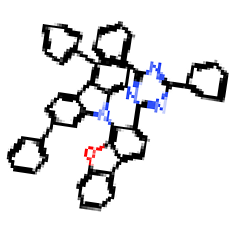 c1ccc(-c2ccc3c4c(-c5ccccc5)cccc4n(-c4c(-c5nc(-c6ccccc6)nc(-c6ccccc6)n5)ccc5c4oc4ccccc45)c3c2)cc1